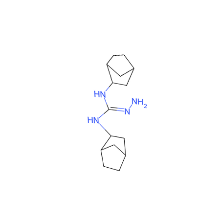 NN=C(NC1CC2CCC1C2)NC1CC2CCC1C2